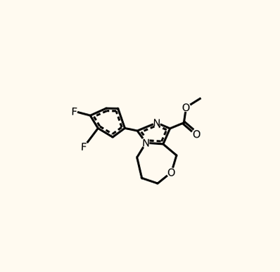 COC(=O)c1nc(-c2ccc(F)c(F)c2)n2c1COCCC2